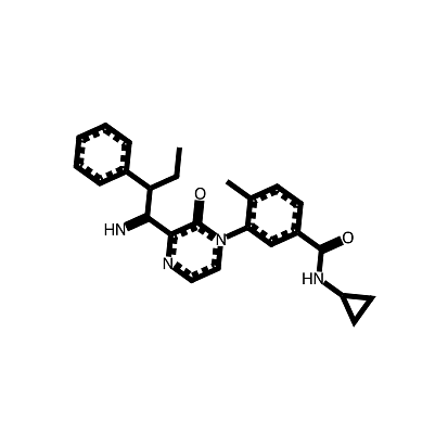 CCC(C(=N)c1nccn(-c2cc(C(=O)NC3CC3)ccc2C)c1=O)c1ccccc1